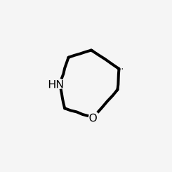 [CH]1CCNCOC1